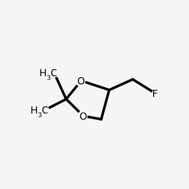 CC1(C)OCC(CF)O1